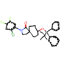 CC(C)(C)[Si](OC1CCC2(CC1)CCN(c1cc(F)c(F)cc1Cl)C2=O)(c1ccccc1)c1ccccc1